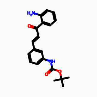 CC(C)(C)OC(=O)Nc1cccc(/C=C/C(=O)c2ccccc2N)c1